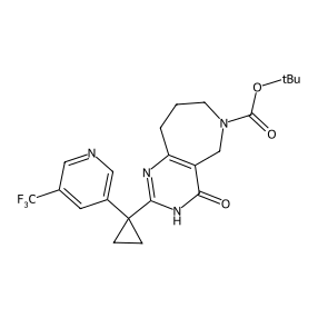 CC(C)(C)OC(=O)N1CCCc2nc(C3(c4cncc(C(F)(F)F)c4)CC3)[nH]c(=O)c2C1